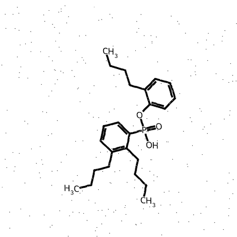 CCCCc1ccccc1OP(=O)(O)c1cccc(CCCC)c1CCCC